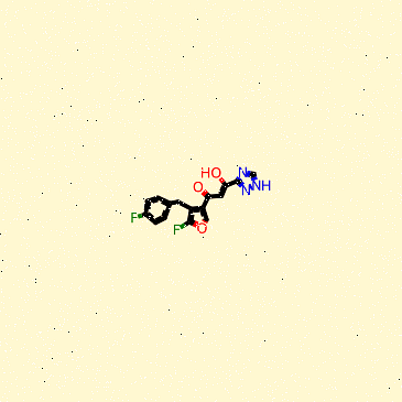 O=C(C=C(O)c1nc[nH]n1)c1coc(F)c1Cc1ccc(F)cc1